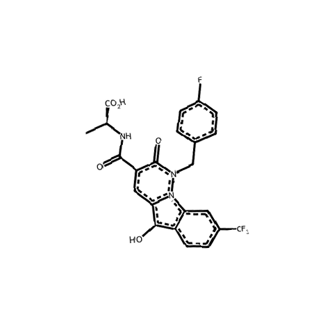 C[C@H](NC(=O)c1cc2c(O)c3ccc(C(F)(F)F)cc3n2n(Cc2ccc(F)cc2)c1=O)C(=O)O